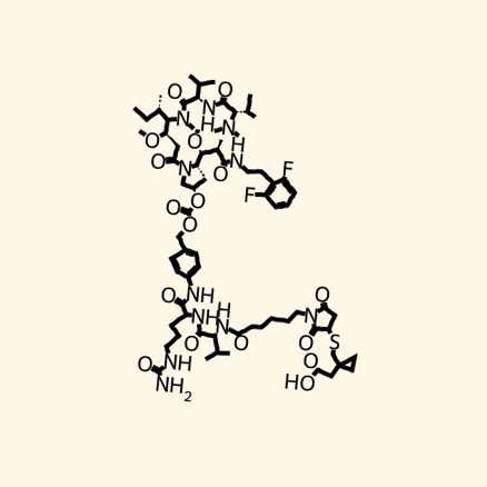 CC[C@H](C)C([C@@H](CC(=O)N1C[C@@H](OC(=O)OCc2ccc(NC(=O)C(CCCNC(N)=O)NC(=O)[C@@H](NC(=O)CCCCCN3C(=O)CC(SCC4(CC(=O)O)CC4)C3=O)C(C)C)cc2)C[C@H]1[C@H](OC)[C@@H](C)C(=O)NCCc1c(F)cccc1F)OC)N(C)C(=O)[C@@H](NC(=O)[C@H](C(C)C)N(C)C)C(C)C